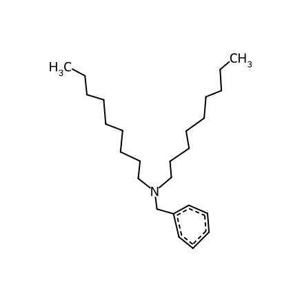 CCCCCCCCCN(CCCCCCCCC)Cc1ccccc1